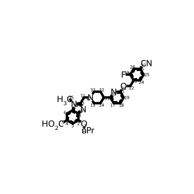 CCCOc1cc(C(=O)O)cc2c1nc(CN1CCC(c3cccc(OCc4ccc(C#N)cc4F)n3)CC1)n2C